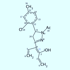 C=C/C(O)=C(\C=C)C1=NN(C(C)=O)C(c2ccc(C)cc2Cl)C1